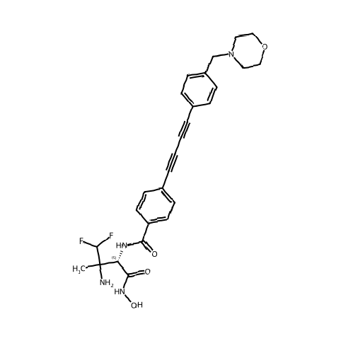 CC(N)(C(F)F)[C@H](NC(=O)c1ccc(C#CC#Cc2ccc(CN3CCOCC3)cc2)cc1)C(=O)NO